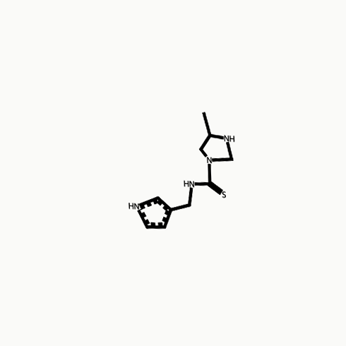 CC1CN(C(=S)NCc2cc[nH]c2)CN1